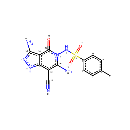 Cc1ccc(S(=O)(=O)Nn2c(N)c(C#N)c3[nH]nc(N)c3c2=O)cc1